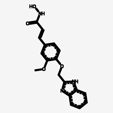 COc1cc(/C=C/C(=O)NO)ccc1OCc1nc2ccccc2[nH]1